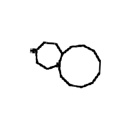 C1CCCCC2CCNCCN2CCCC1